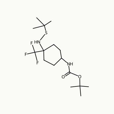 CC(C)(C)OC(=O)NC1CCC(NSC(C)(C)C)(C(F)(F)F)CC1